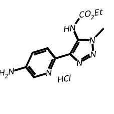 CCOC(=O)Nc1c(-c2ccc(N)cn2)nnn1C.Cl